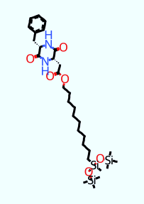 C[Si](C)(C)O[Si](C)(CCCCCCCCCCCOC(=O)C[C@@H]1NC(=O)[C@H](Cc2ccccc2)NC1=O)O[Si](C)(C)C